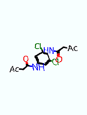 CC(=O)CC(=O)Nc1cc(Cl)c(NC(=O)CC(C)=O)c(Cl)c1